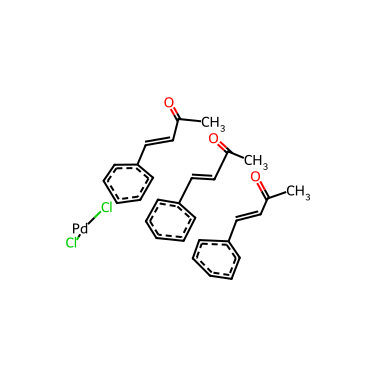 CC(=O)C=Cc1ccccc1.CC(=O)C=Cc1ccccc1.CC(=O)C=Cc1ccccc1.[Cl][Pd][Cl]